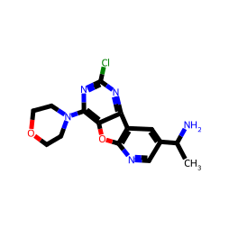 CC(N)c1cnc2oc3c(N4CCOCC4)nc(Cl)nc3c2c1